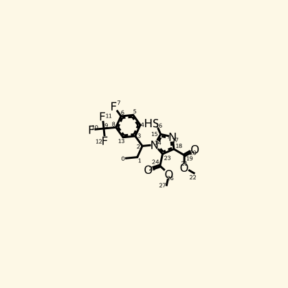 CCC(c1ccc(F)c(C(F)(F)F)c1)n1c(S)nc(C(=O)OC)c1C(=O)OC